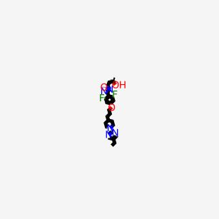 CCc1cnc(N2CCC(CCCOc3cc(F)c(-c4noc(C[C@@H](C)O)n4)c(F)c3)CC2)nc1